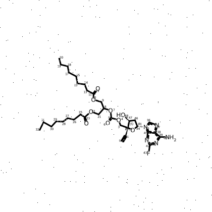 C#C[C@]1(COC(=O)OC(COC(=O)CCCCCCCC)COC(=O)CCCCCCCC)O[C@@H](n2cnc3c(N)nc(F)nc32)C[C@@H]1O